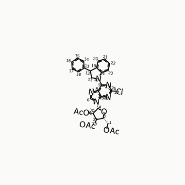 CC(=O)OC[C@H]1O[C@@H](n2cnc3c(N4CC(c5ccccc5)c5ccccc54)nc(Cl)nc32)[C@H](OC(C)=O)[C@@H]1OC(C)=O